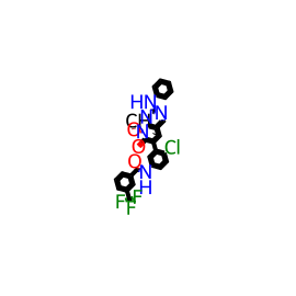 COn1c(=O)c(-c2cc(NC(=O)c3cccc(C(F)(F)F)c3)ccc2Cl)cc2cnc(Nc3ccccc3)nc21